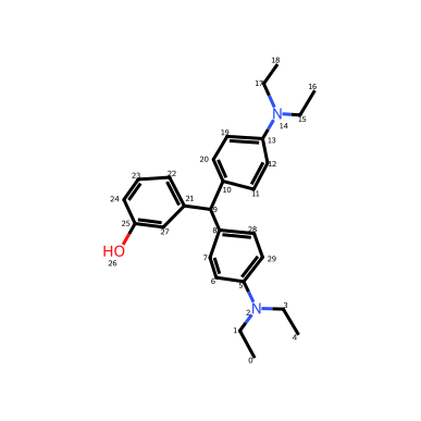 CCN(CC)c1ccc(C(c2ccc(N(CC)CC)cc2)c2cccc(O)c2)cc1